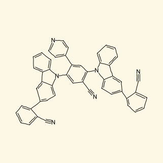 N#Cc1ccccc1-c1ccc2c(c1)c1ccccc1n2-c1cc(-c2ccncc2)c(-n2c3ccccc3c3cc(-c4ccccc4C#N)ccc32)cc1C#N